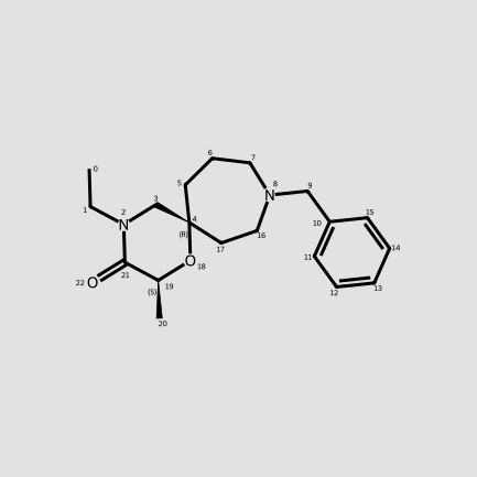 CCN1C[C@]2(CCCN(Cc3ccccc3)CC2)O[C@@H](C)C1=O